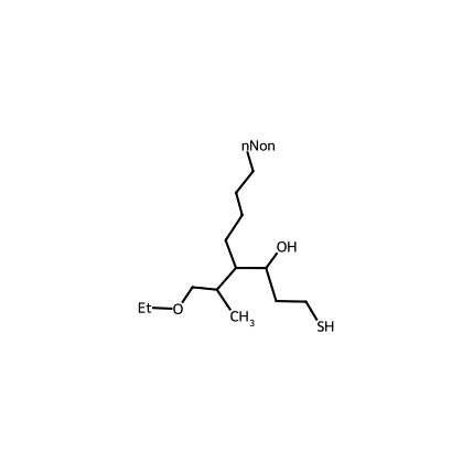 CCCCCCCCCCCCCC(C(C)COCC)C(O)CCS